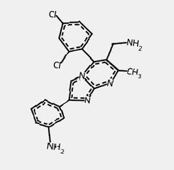 Cc1nc2nc(-c3cccc(N)c3)cn2c(-c2ccc(Cl)cc2Cl)c1CN